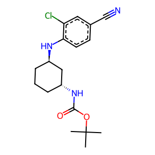 CC(C)(C)OC(=O)N[C@@H]1CCC[C@@H](Nc2ccc(C#N)cc2Cl)C1